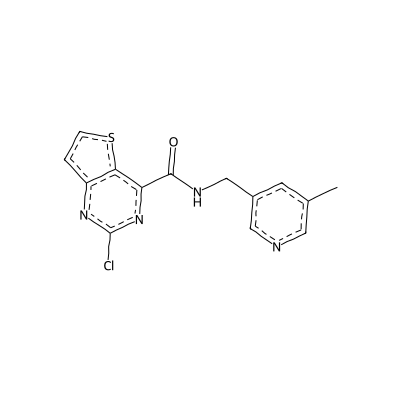 Cc1cncc(CNC(=O)c2nc(Cl)nc3ccsc23)c1